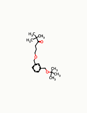 CC(C)(C)OCc1cccc(COCCCC(=O)C(C)(C)C)c1